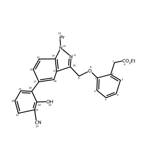 CCOC(=O)Cc1ccccc1OCc1nn(C(C)C)c2ccc(-c3cccc(C#N)c3O)cc12